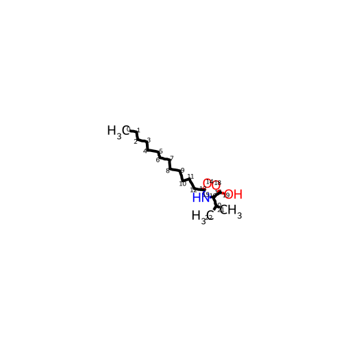 CCCCCCCCCCCCCC(=O)NC(C(=O)O)C(C)C